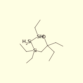 CC[SiH]1OC(CC)(CC)C[Si](CC)(CC)[SiH2]1